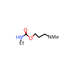 CCNC(=O)OCCCNC